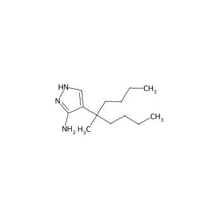 CCCCC(C)(CCCC)c1c[nH]nc1N